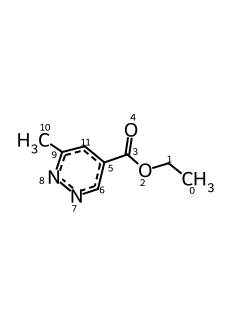 CCOC(=O)c1cnnc(C)c1